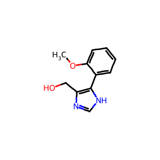 COc1ccccc1-c1[nH]cnc1CO